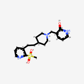 CS(=O)(=O)c1ncccc1CCC1CCN(Cc2ccc[nH]c2=O)CC1